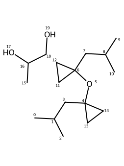 CC(C)CC1(OC2(CC(C)C)CC2)CC1.CC(O)CO